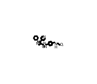 COCCNCc1ccc(-c2noc(-c3cnn(C4CCCCC4)c3-c3ccncc3)n2)cc1